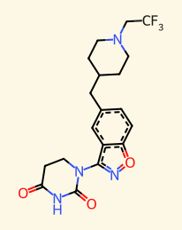 O=C1CCN(c2noc3ccc(CC4CCN(CC(F)(F)F)CC4)cc23)C(=O)N1